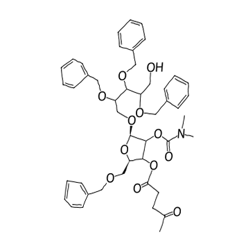 CC(=O)CCC(=O)OC1C(OC(=O)N(C)C)[C@H](OCC(OCc2ccccc2)C(OCc2ccccc2)C(CO)OCc2ccccc2)O[C@@H]1COCc1ccccc1